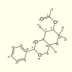 CC(=O)OC1C(I)C2OC(c3ccccc3)OCC2(C)CC1(C)C